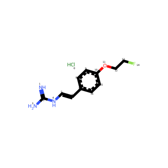 Cl.N=C(N)NC=Cc1ccc(OCCF)cc1